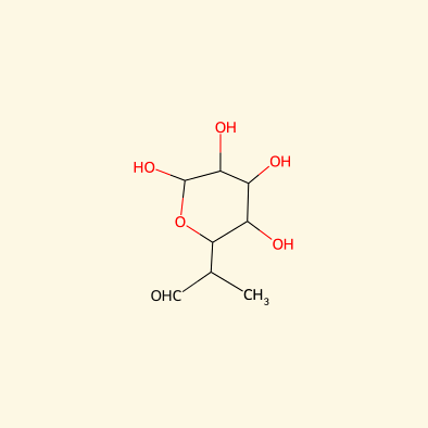 CC(C=O)C1OC(O)C(O)C(O)C1O